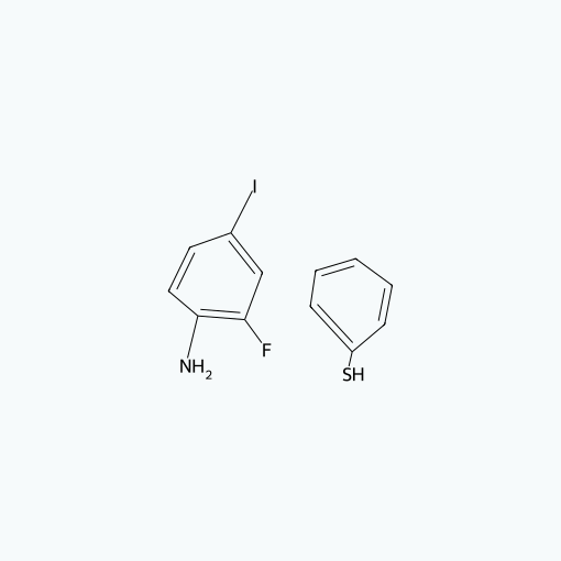 Nc1ccc(I)cc1F.Sc1ccccc1